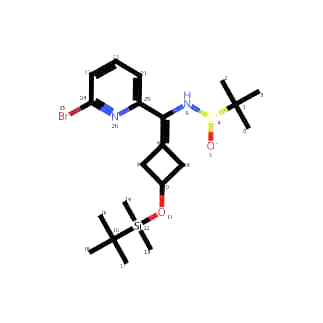 CC(C)(C)[S+]([O-])NC(=C1CC(O[Si](C)(C)C(C)(C)C)C1)c1cccc(Br)n1